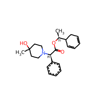 C[C@H](OC(=O)[C@@H](c1ccccc1)N1CCC(C)(O)CC1)C1C=CC=CC1